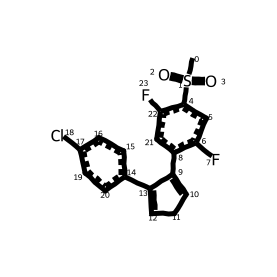 CS(=O)(=O)c1cc(F)c(C2=CCC=C2c2ccc(Cl)cc2)cc1F